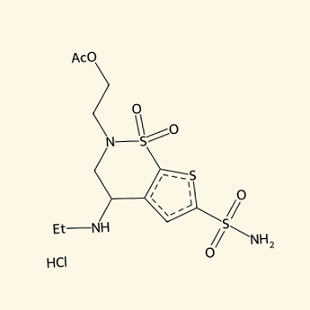 CCNC1CN(CCOC(C)=O)S(=O)(=O)c2sc(S(N)(=O)=O)cc21.Cl